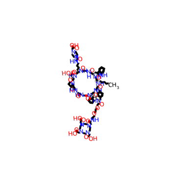 CCCCCC[C@@H]1NC(=O)[C@H](Cc2ccc(CNC(=O)COCCOCCNC(=O)CN3CCN(CC(=O)O)CCN(CC(=O)O)CCN(CC(=O)O)CC3)cc2)NC(=O)[C@H](Cc2ccccc2)N(C)C(=O)CNC(=O)CNC(=O)[C@H]2CCCN2C(=O)[C@H](CC(=O)O)NC(=O)[C@H](CCCCNC(=O)N2CCN(CC(=O)O)CC2)NC(=O)CNC(=O)[C@H](Cc2c[nH]c3ccccc23)NC1=O